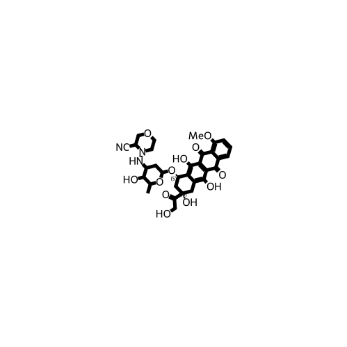 COc1cccc2c1C(=O)c1c(O)c3c(c(O)c1C2=O)C[C@@](O)(C(=O)CO)C[C@@H]3OC1CC(NN2CCOCC2C#N)C(O)C(C)O1